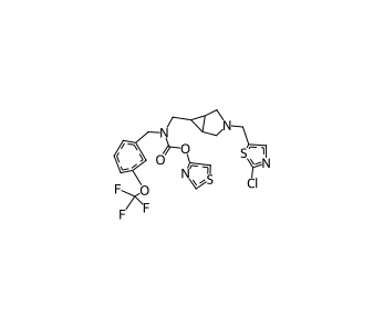 O=C(Oc1cscn1)N(Cc1cccc(OC(F)(F)F)c1)CC1C2CN(Cc3cnc(Cl)s3)CC21